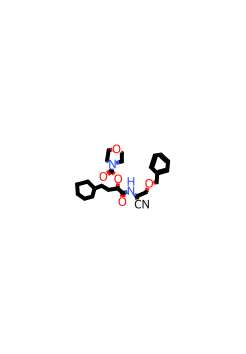 N#CC(COCc1ccccc1)NC(=O)C(CCC1CCCCC1)OC(=O)N1CCOCC1